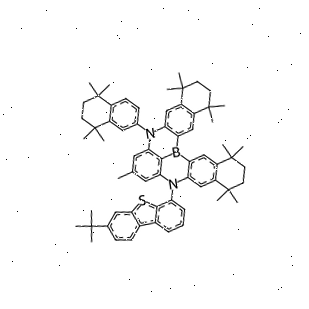 Cc1cc2c3c(c1)N(c1cccc4c1sc1cc(C(C)(C)C)ccc14)c1cc4c(cc1B3c1cc3c(cc1N2c1ccc2c(c1)C(C)(C)CCC2(C)C)C(C)(C)CCC3(C)C)C(C)(C)CCC4(C)C